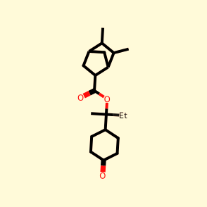 CCC(C)(OC(=O)C1CC2CC1C(C)C2C)C1CCC(=O)CC1